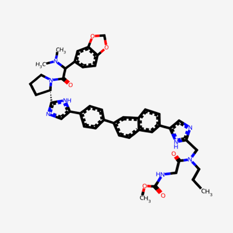 CCCN(Cc1ncc(-c2ccc3cc(-c4ccc(-c5cnc([C@@H]6CCCN6C(=O)C(c6ccc7c(c6)OCO7)N(C)C)[nH]5)cc4)ccc3c2)[nH]1)C(=O)CNC(=O)OC